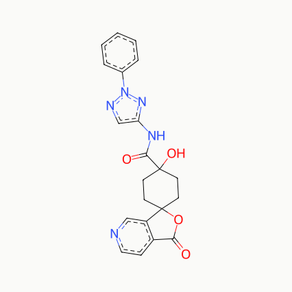 O=C1OC2(CCC(O)(C(=O)Nc3cnn(-c4ccccc4)n3)CC2)c2cnccc21